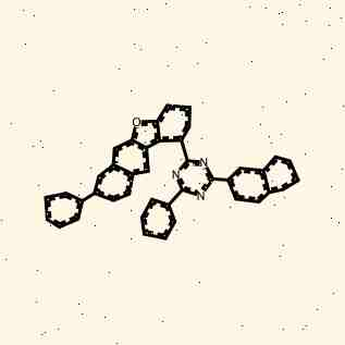 c1ccc(-c2ccc3cc4c(cc3c2)oc2cccc(-c3nc(-c5ccccc5)nc(-c5ccc6ccccc6c5)n3)c24)cc1